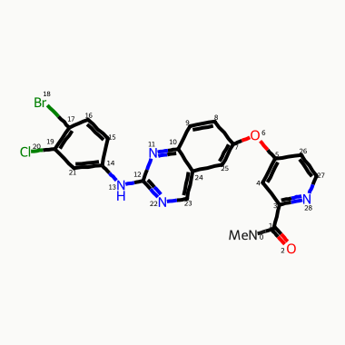 CNC(=O)c1cc(Oc2ccc3nc(Nc4ccc(Br)c(Cl)c4)ncc3c2)ccn1